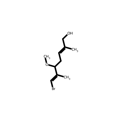 COC(C/C=C(\C)CO)/C(C)=C/Br